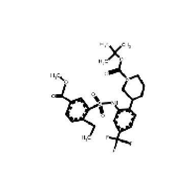 CCc1ccc(C(=O)OC)cc1S(=O)(=O)Nc1cc(C(F)(F)F)ccc1C1CCCN(C(=O)OC(C)(C)C)C1